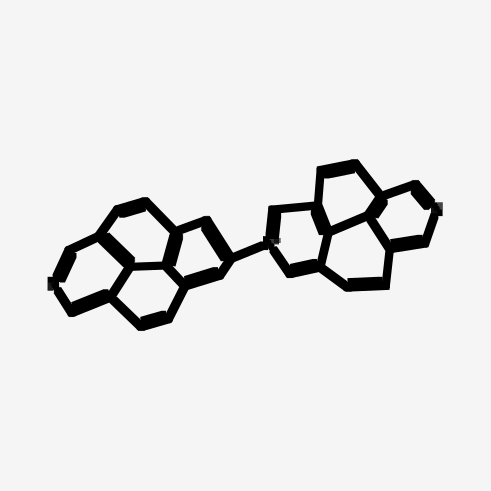 c1cc2cc(-[n+]3cc4ccc5cncc6ccc(c3)c4c56)cc3ccc4cncc1c4c23